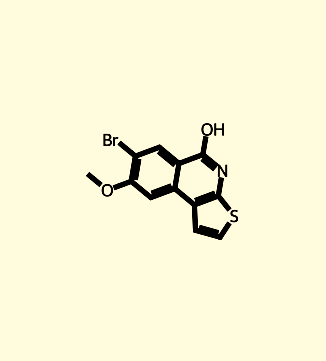 COc1cc2c(cc1Br)c(O)nc1sccc12